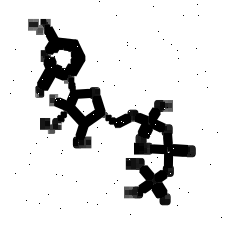 C[C@@]1(F)C(O)[C@@H](COP(=O)(O)OP(=O)(O)OP(=O)(O)O)O[C@H]1n1ccc(N)nc1=S